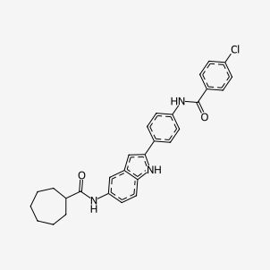 O=C(Nc1ccc(-c2cc3cc(NC(=O)C4CCCCCC4)ccc3[nH]2)cc1)c1ccc(Cl)cc1